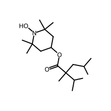 CC(C)CC(C)(C(=O)OC1CC(C)(C)N(O)C(C)(C)C1)C(C)C